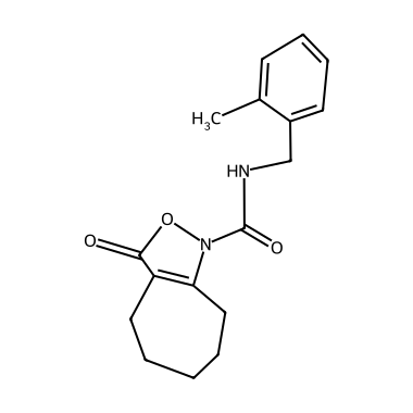 Cc1ccccc1CNC(=O)n1oc(=O)c2c1CCCCC2